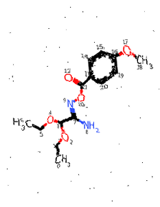 CCOC(OCC)/C(N)=N/OC(=O)c1ccc(OC)cc1